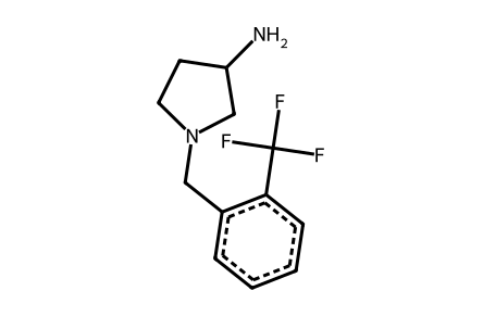 NC1CCN(Cc2ccccc2C(F)(F)F)C1